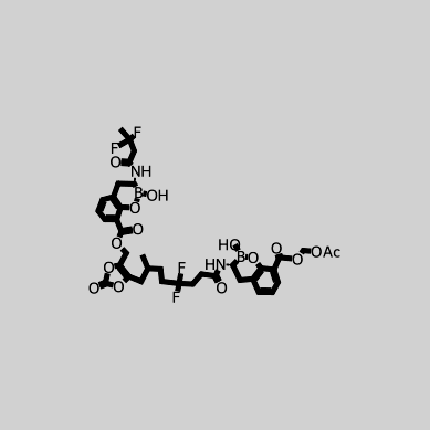 CC(=O)OCOC(=O)c1cccc2c1OB(O)[C@@H](NC(=O)CCC(F)(F)CCC(C)Cc1oc(=O)oc1COC(=O)c1cccc3c1OB(O)[C@@H](NC(=O)CC(C)(F)F)C3)C2